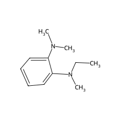 CCN(C)c1ccccc1N(C)C